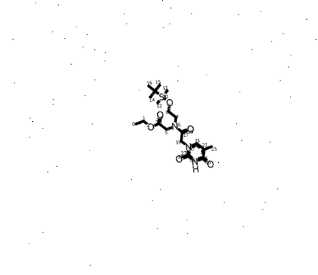 CCOC(=O)CN(CCO[Si](C)(C)C(C)(C)C)C(=O)Cn1cc(C)c(=O)[nH]c1=O